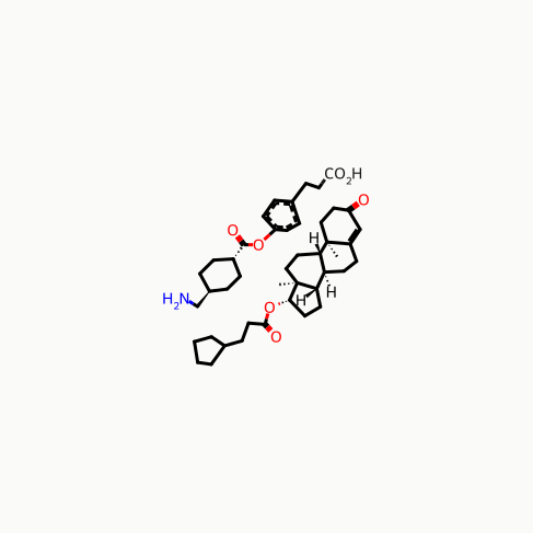 C[C@]12CC[C@H]3[C@@H](CCC4=CC(=O)CC[C@@]43C)[C@@H]1CC[C@@H]2OC(=O)CCC1CCCC1.NC[C@H]1CC[C@H](C(=O)Oc2ccc(CCC(=O)O)cc2)CC1